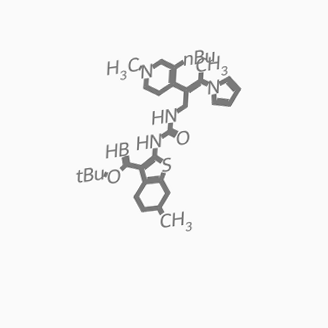 B=C(OC(C)(C)C)c1c(NC(=O)NC/C(C2=C(CCCC)CN(C)CC2)=C(/C)n2cccc2)sc2c1CCC(C)C2